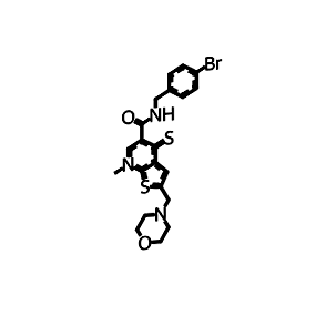 Cn1cc(C(=O)NCc2ccc(Br)cc2)c(=S)c2cc(CN3CCOCC3)sc21